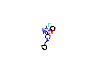 Cc1nnc(C2(O)CCN(CCc3ccccc3)CC2)n1-c1ccccc1F